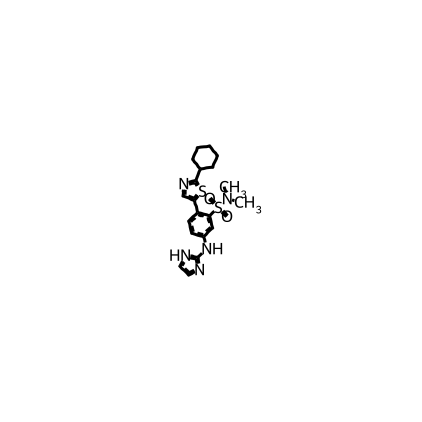 CN(C)S(=O)(=O)c1cc(Nc2ncc[nH]2)ccc1-c1cnc(C2CCCCC2)s1